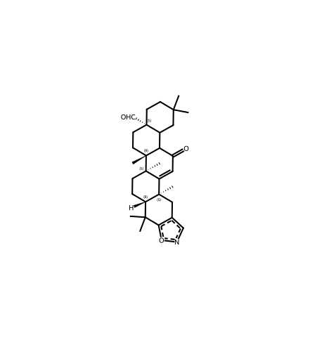 CC1(C)CC[C@]2(C=O)CC[C@]3(C)C(C(=O)C=C4[C@@]5(C)Cc6cnoc6C(C)(C)[C@@H]5CC[C@]43C)C2C1